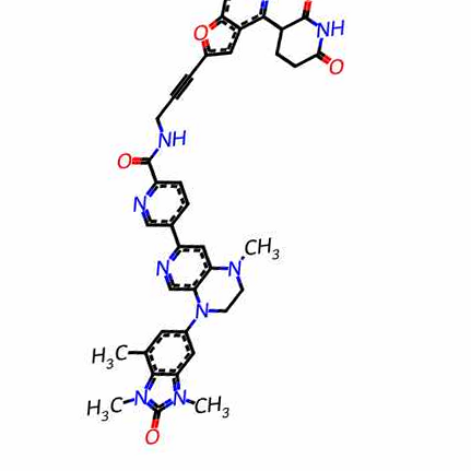 Cc1cc(N2CCN(C)c3cc(-c4ccc(C(=O)NCC#Cc5cc6c(C7CCC(=O)NC7=O)nccc6o5)nc4)ncc32)cc2c1n(C)c(=O)n2C